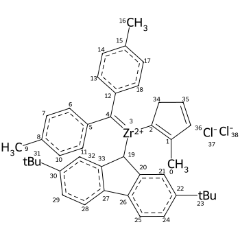 CC1=[C]([Zr+2](=[C](c2ccc(C)cc2)c2ccc(C)cc2)[CH]2c3cc(C(C)(C)C)ccc3-c3ccc(C(C)(C)C)cc32)CC=C1.[Cl-].[Cl-]